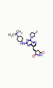 CN(C)C1CCC(Nc2nc(N3CC[C@@H](F)C3)n3ncc(/C=C4\CC(=O)NC4=O)c3n2)CC1